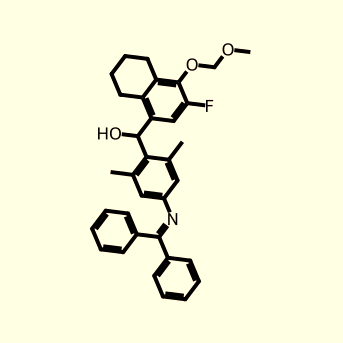 COCOc1c(F)cc(C(O)c2c(C)cc(N=C(c3ccccc3)c3ccccc3)cc2C)c2c1CCCC2